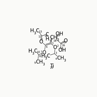 CC(OC(C)C)=C(OC(C)C)OC(C)C.O=C(O)CO.[Ti]